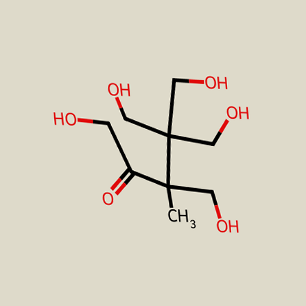 CC(CO)(C(=O)CO)C(CO)(CO)CO